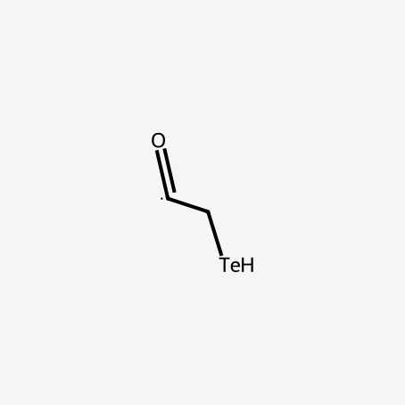 O=[C]C[TeH]